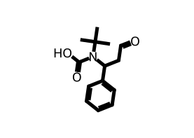 CC(C)(C)N(C(=O)O)C(CC=O)c1ccccc1